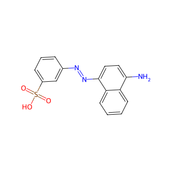 Nc1ccc(/N=N/c2cccc(S(=O)(=O)O)c2)c2ccccc12